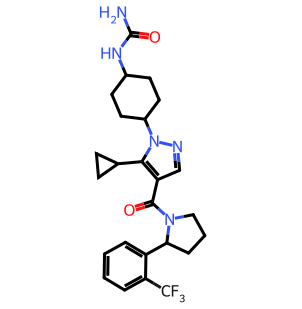 NC(=O)NC1CCC(n2ncc(C(=O)N3CCCC3c3ccccc3C(F)(F)F)c2C2CC2)CC1